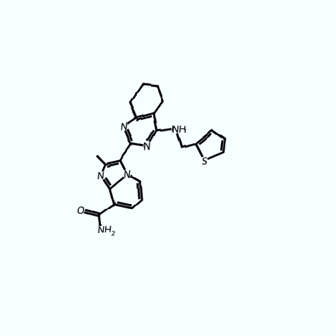 Cc1nc2c(C(N)=O)cccn2c1-c1nc2c(c(NCc3cccs3)n1)CCCC2